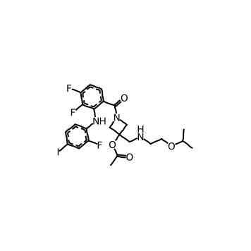 CC(=O)OC1(CNCCOC(C)C)CN(C(=O)c2ccc(F)c(F)c2Nc2ccc(I)cc2F)C1